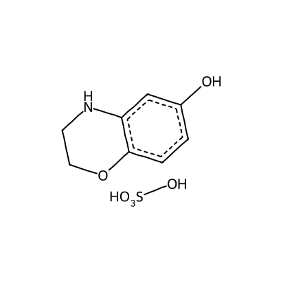 O=S(=O)(O)O.Oc1ccc2c(c1)NCCO2